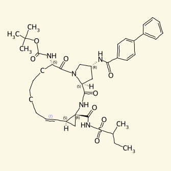 CCC(C)S(=O)(=O)NC(=O)[C@@]12C[C@H]1/C=C\CCCCC[C@H](NC(=O)OC(C)(C)C)C(=O)N1C[C@H](NC(=O)c3ccc(-c4ccccc4)cc3)C[C@H]1C(=O)N2